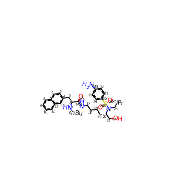 CCCCN[C@@H](Cc1ccc2ccccc2c1)C(=O)NCCCC[C@@H](CO)N(CC(C)C)S(=O)(=O)c1ccc(N)cc1